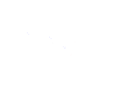 Cc1ccc(S(=O)(=O)N2CC[C@H](N(C)CCCN(C)C)C2)cc1